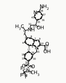 CC(Cc1ccc2c(c1)cc(C(=O)O)n2Cc1cccc(S(=O)(=O)N(C)C(F)(F)F)c1)NCC(O)c1ccc(N)nc1